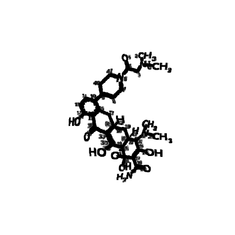 CN(C)CC(=O)N1CC=C(c2ccc(O)c3c2C[C@H]2C[C@H]4[C@@H](N(C)C)C(O)=C(C(N)=O)C5(O)O[C@]45C(O)=C2C3=O)CC1